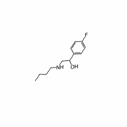 CCCCNCC(O)c1ccc(F)cc1